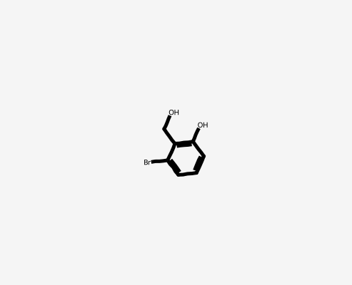 OCc1c(O)cccc1Br